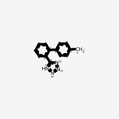 [CH2]c1ccc(-c2ccccc2-c2nnn[nH]2)cc1